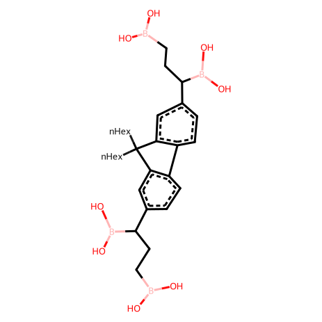 CCCCCCC1(CCCCCC)c2cc(C(CCB(O)O)B(O)O)ccc2-c2ccc(C(CCB(O)O)B(O)O)cc21